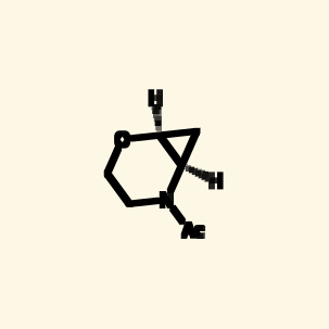 CC(=O)N1CCO[C@H]2C[C@H]21